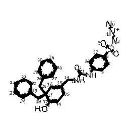 [N-]=[N+]=NS(=O)(=O)c1ccc(NC(=O)NCC2=CC(Cc3ccccc3)(Cc3ccccc3)C(O)=CC2)cc1